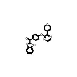 O=C(c1ccc(Oc2nccnc2C2=CCOCC2)cc1)c1nc2ccccc2[nH]1